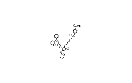 O=C(CCCC=CCC1C(=O)CC(OC2CCCCO2)C1OCC(COc1ccccc1)OC1CCCCO1)Oc1ccc(C(=O)O)cc1